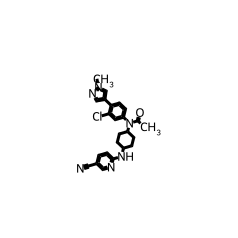 CC(=O)N(c1ccc(-c2cnn(C)c2)c(Cl)c1)C1CCC(Nc2ccc(C#N)cn2)CC1